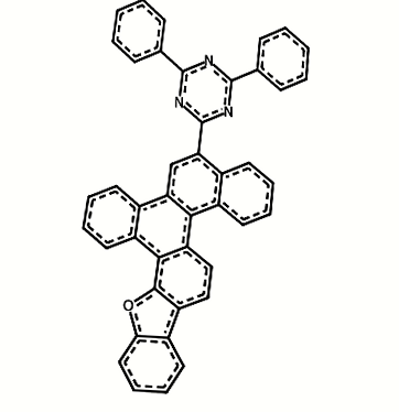 c1ccc(-c2nc(-c3ccccc3)nc(-c3cc4c5ccccc5c5c(ccc6c7ccccc7oc65)c4c4ccccc34)n2)cc1